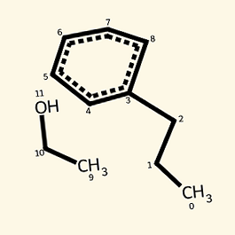 CCCc1ccccc1.CCO